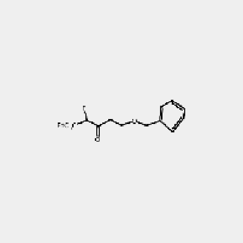 CCOC(=O)C(F)C(=O)CCOCc1ccccc1